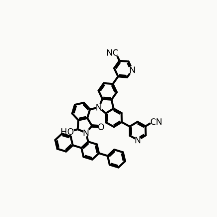 N#Cc1cncc(-c2ccc3c(c2)c2cc(-c4cncc(C#N)c4)ccc2n3-c2cccc3c2C(=O)N(c2cc(-c4ccccc4)ccc2-c2ccccc2)C3O)c1